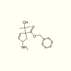 CC(C)(O)C1(C(=O)OCc2ccccc2)C=CC(N)C1